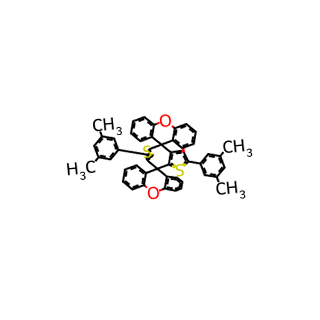 Cc1cc(C)cc(-c2cc3c(s2)C2(c4ccccc4Oc4ccccc42)c2cc(-c4cc(C)cc(C)c4)sc2C32c3ccccc3Oc3ccccc32)c1